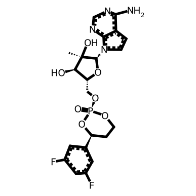 C[C@@]1(O)[C@H](O)[C@@H](CO[P@@]2(=O)OCC[C@@H](c3cc(F)cc(F)c3)O2)O[C@H]1n1ccc2c(N)ncnc21